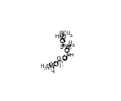 CC1CC(Nc2ccc(NC(=O)c3ccc(NS(C)(=O)=O)cc3)cc2)=CC=C1NC(=O)c1ccc(NS(C)(=O)=O)cc1